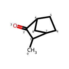 CC1C(=O)C2CCC1C2